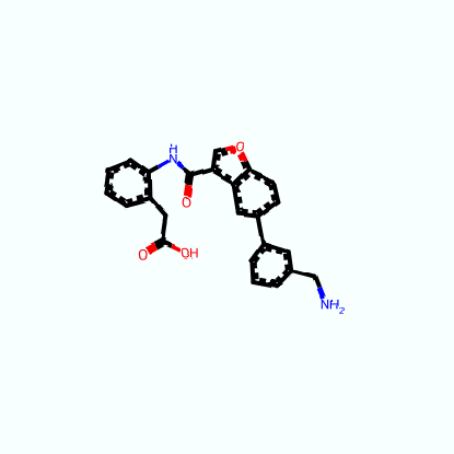 NCc1cccc(-c2ccc3occ(C(=O)Nc4ccccc4CC(=O)O)c3c2)c1